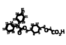 O=C(O)COC[C@H]1CC[C@@H](COC(=O)N(c2ccccc2)c2ccc(F)cc2)CC1